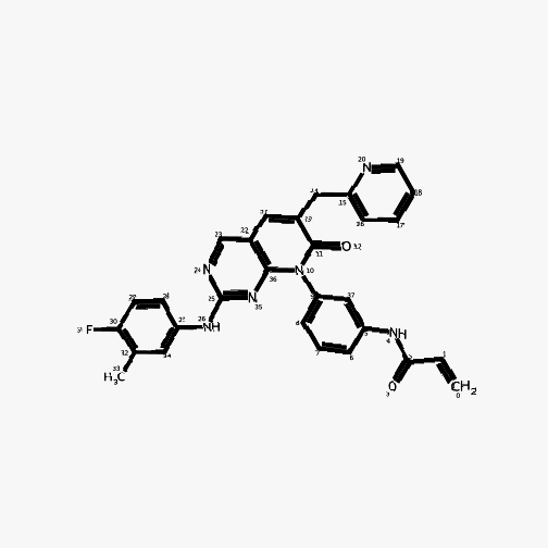 C=CC(=O)Nc1cccc(-n2c(=O)c(Cc3ccccn3)cc3cnc(Nc4ccc(F)c(C)c4)nc32)c1